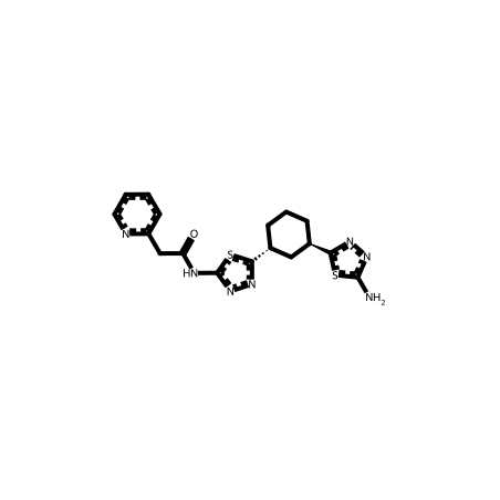 Nc1nnc([C@@H]2CCC[C@@H](c3nnc(NC(=O)Cc4ccccn4)s3)C2)s1